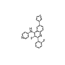 Fc1ccccc1-c1nc2ccc(-c3ccsc3)cc2c(Nc2ccncc2)c1F